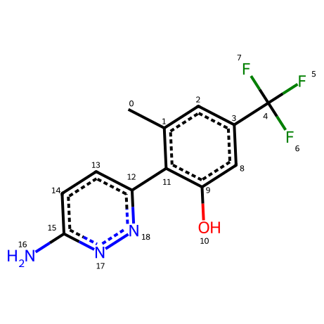 Cc1cc(C(F)(F)F)cc(O)c1-c1ccc(N)nn1